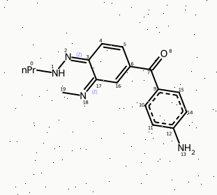 CCCN/N=C1/C=CC(C(=O)c2ccc(N)cc2)=C/C1=N/C